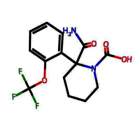 NC(=O)C1(c2ccccc2OC(F)(F)F)CCCCN1C(=O)O